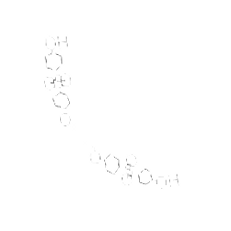 O=S(=O)(c1ccc(O)cc1)c1ccc(OCCCCCOc2ccc(S(=O)(=O)c3ccc(O)cc3)cc2)cc1